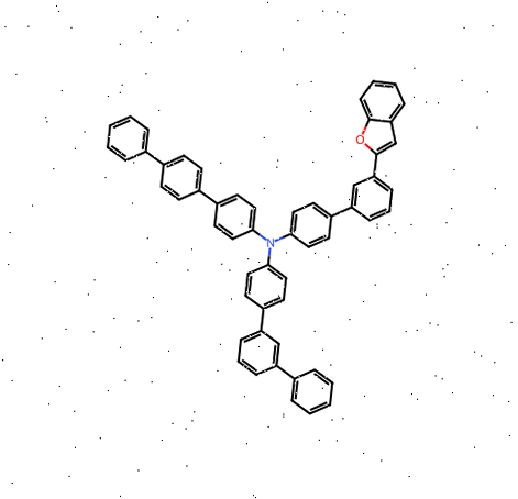 c1ccc(-c2ccc(-c3ccc(N(c4ccc(-c5cccc(-c6ccccc6)c5)cc4)c4ccc(-c5cccc(-c6cc7ccccc7o6)c5)cc4)cc3)cc2)cc1